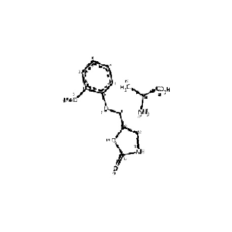 COc1ccccc1OCC1CNC(=O)O1.C[C@H](N)C(=O)O